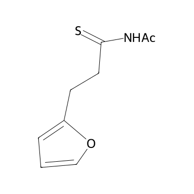 CC(=O)NC(=S)CCc1ccco1